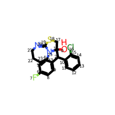 OC1(C(c2ccc(F)cc2)c2ccccc2Cl)CSC2=NCCCCN21